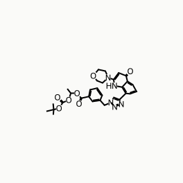 CC(OC(=O)OC(C)(C)C)OC(=O)c1cccc(Cn2cc(-c3cccc4c(=O)cc(N5CCOCC5)[nH]c34)nn2)c1